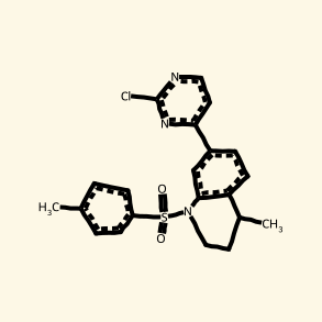 Cc1ccc(S(=O)(=O)N2CCC(C)c3ccc(-c4ccnc(Cl)n4)cc32)cc1